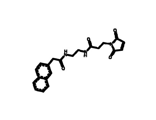 O=C(CCN1C(=O)C=CC1=O)NCCNC(=O)Cc1ccc2ccccc2c1